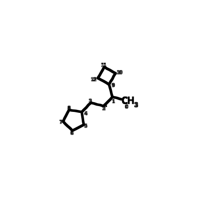 CC([CH]CC1CCCC1)C1CCC1